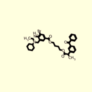 CCN(Cc1cc(C(=O)OCCCCOC(=O)C(C)c2cccc(C(=O)c3ccccc3)c2)cc(Br)c1N)C1CCCCC1